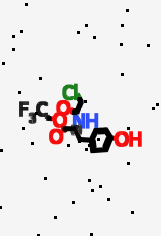 O=C(CCl)N[C@@H](Cc1ccc(O)cc1)C(=O)OCC(F)(F)F